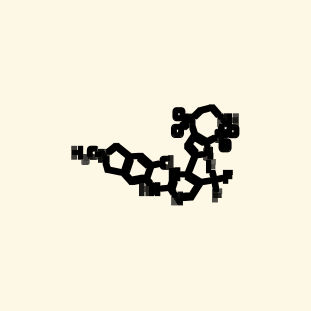 CN1Cc2cc(Cl)c(Nc3ncc(C(F)(F)F)c(-c4cc5c(s4)S(=O)(=O)NCCS5(=O)=O)n3)cc2C1